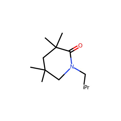 CC(C)CN1CC(C)(C)CC(C)(C)C1=O